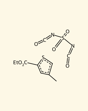 CCOC(=O)c1cc(C)cs1.O=C=NS(=O)(=O)N=C=O